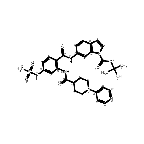 CC(C)(C)OC(=O)n1ccc2ccc(NC(=O)c3ccc(NS(C)(=O)=O)cc3NC(=O)C3CCN(c4ccncc4)CC3)cc21